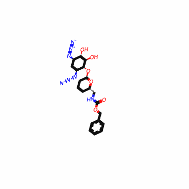 [N-]=[N+]=N[C@H]1C[C@@H](N=[N+]=[N-])[C@H](O)[C@@H](O)[C@@H]1O[C@@H]1CCC[C@@H](CNC(=O)OCc2ccccc2)O1